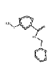 NNc1cccc(C(=O)NCc2ccccc2)c1